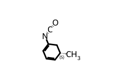 C[C@@H]1C=CC=C(N=C=O)C1